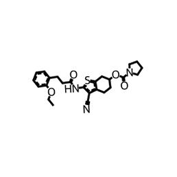 CCOc1ccccc1CCC(=O)Nc1sc2c(c1C#N)CCC(OC(=O)N1CCCC1)C2